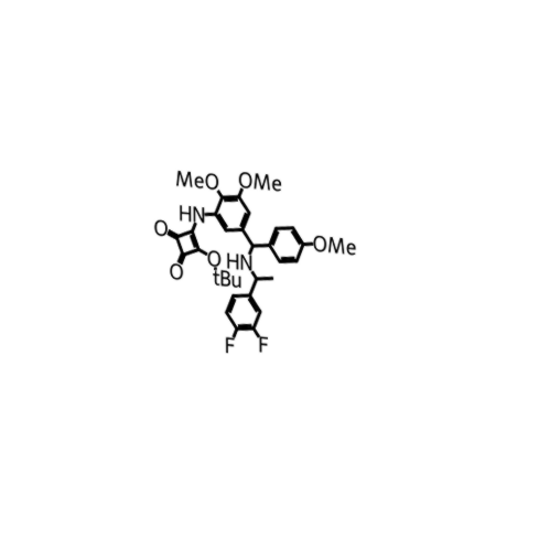 COc1ccc(C(NC(C)c2ccc(F)c(F)c2)c2cc(Nc3c(OC(C)(C)C)c(=O)c3=O)c(OC)c(OC)c2)cc1